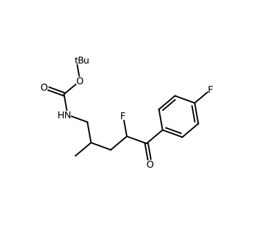 CC(CNC(=O)OC(C)(C)C)CC(F)C(=O)c1ccc(F)cc1